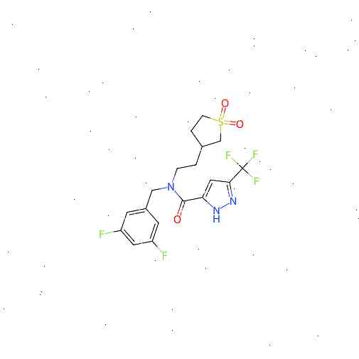 O=C(c1cc(C(F)(F)F)n[nH]1)N(CCC1CCS(=O)(=O)C1)Cc1cc(F)cc(F)c1